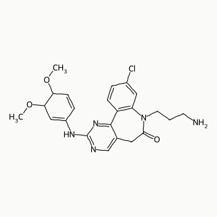 COC1C=CC(Nc2ncc3c(n2)-c2ccc(Cl)cc2N(CCCN)C(=O)C3)=CC1OC